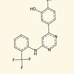 Oc1ccc(-c2cc(Nc3ccccc3C(F)(F)F)ncn2)cc1O